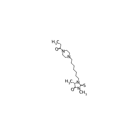 CCC(=O)N1CCN(CCCCCCCN2C(=S)N(C)C(=O)C2C)CC1